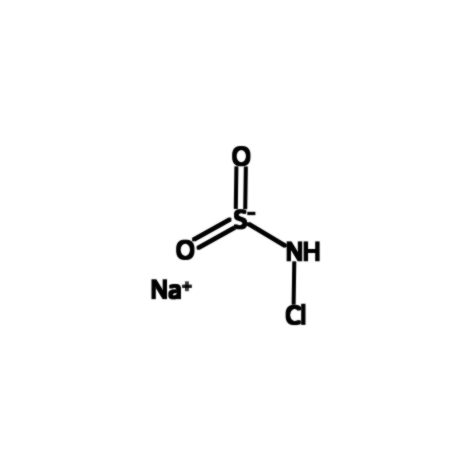 O=[S-](=O)NCl.[Na+]